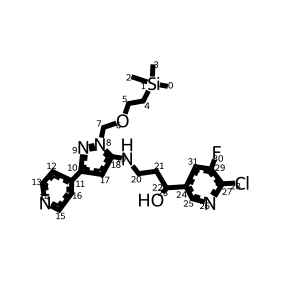 C[Si](C)(C)CCOCn1nc(-c2ccncc2)cc1NCCC(O)c1cnc(Cl)c(F)c1